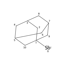 [Sb][C]12CC3CC(CC(C3)C1)C2